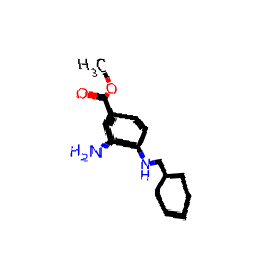 COC(=O)c1ccc(NCC2CCCCC2)c(N)c1